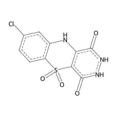 O=c1[nH][nH]c(=O)c2c1Nc1cc(Cl)ccc1S2(=O)=O